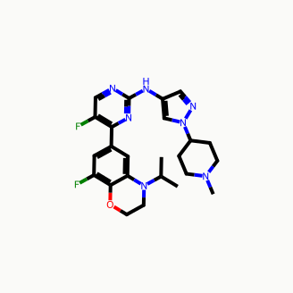 CC(C)N1CCOc2c(F)cc(-c3nc(Nc4cnn(C5CCN(C)CC5)c4)ncc3F)cc21